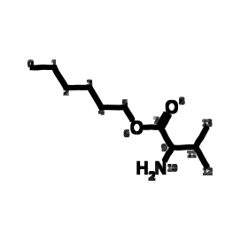 CCCCCCOC(=O)C(N)C(C)C